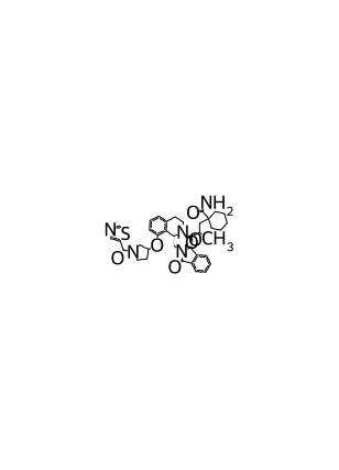 CC(CC1(C(N)=O)CCCCC1)C(=O)N1CCc2cccc(O[C@H]3CCN(C(=O)c4cncs4)C3)c2[C@H]1CN1C(=O)c2ccccc2C1=O